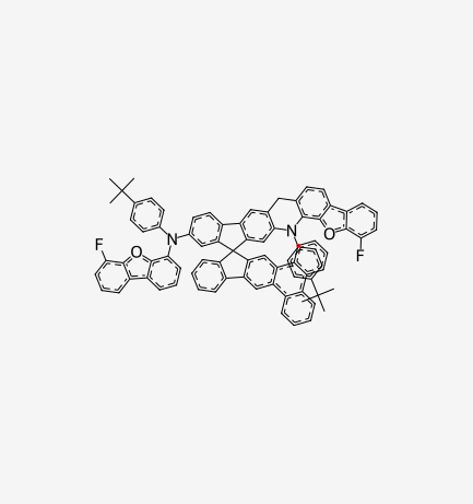 CC(C)(C)c1ccc(N(c2ccc3c(c2)C2(c4ccccc4-c4cc5c6ccccc6c6ccccc6c5cc42)c2cc4c(cc2-3)Cc2ccc3c(oc5c(F)cccc53)c2N4c2ccc(C(C)(C)C)cc2)c2cccc3c2oc2c(F)cccc23)cc1